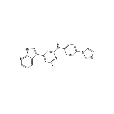 Clc1cc(-c2c[nH]c3ncccc23)cc(Nc2ccc(-n3ccnc3)cc2)n1